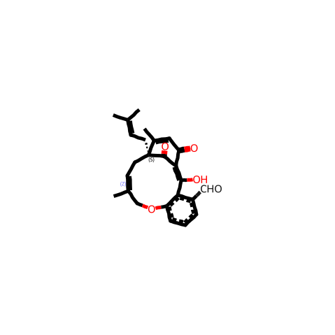 CC(C)=CC[C@]12C/C=C(/C)COc3cccc(C=O)c3C(O)=C(C(=O)C=C1C)C2=O